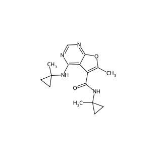 Cc1oc2ncnc(NC3(C)CC3)c2c1C(=O)NC1(C)CC1